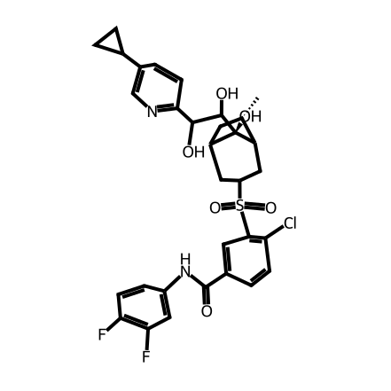 C[C@H]1CC2CC(S(=O)(=O)c3cc(C(=O)Nc4ccc(F)c(F)c4)ccc3Cl)CC1[C@@]2(O)C(O)C(O)c1ccc(C2CC2)cn1